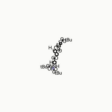 CC(=O)[C@@H](C)N(Cc1csc(C(=O)OC(C)(C)C)c1)C(=O)c1cccc2cc(OC(=O)c3ccc(N/C(=N\C(=O)OC(C)(C)C)NC(=O)OC(C)(C)C)cc3)ccc12